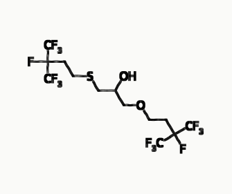 OC(COCCC(F)(C(F)(F)F)C(F)(F)F)CSCCC(F)(C(F)(F)F)C(F)(F)F